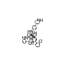 CC1(C)Nc2ccccc2C(=O)C1n1c(=O)c(-c2ccccc2Cl)cc2cnc(Nc3ccc(C4=CCNCC4)cc3)nc21